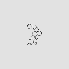 CC(=O)N(c1ccccc1)[C@@H]1C[C@H](C)N(C(=O)c2ccc(C)nc2Cl)c2ccccc21